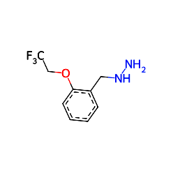 NNCc1ccccc1OCC(F)(F)F